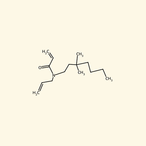 C=CCN(CCC(C)(C)CCCC)C(=O)C=C